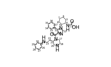 O=C(O)N[C@H]1CCCC[C@@H]1n1cnc(C(=O)N2CCNC[C@H]2CCNc2ccccc2)c1-c1ccccc1